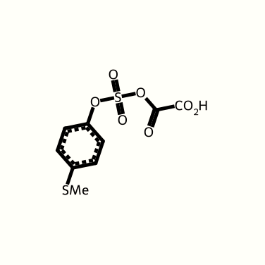 CSc1ccc(OS(=O)(=O)OC(=O)C(=O)O)cc1